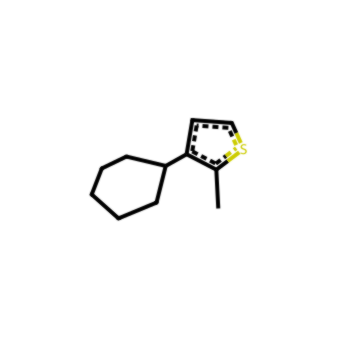 Cc1sccc1C1CCCCC1